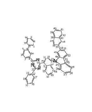 c1ccc(-c2cccc(-c3nc(-c4ccccc4)nc(-c4ccc(-n5c6ccccc6c6ccc(-c7ccc8ccccc8c7)cc65)c5ccccc45)n3)c2)cc1